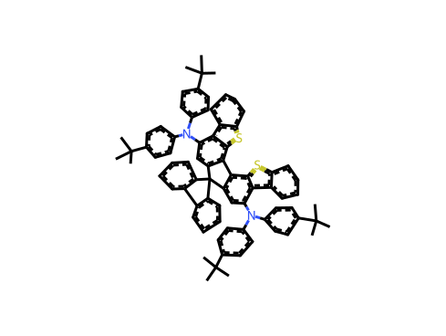 CC(C)(C)c1ccc(N(c2ccc(C(C)(C)C)cc2)c2cc3c(c4sc5ccccc5c24)-c2c(cc(N(c4ccc(C(C)(C)C)cc4)c4ccc(C(C)(C)C)cc4)c4c2sc2ccccc24)C32c3ccccc3-c3ccccc32)cc1